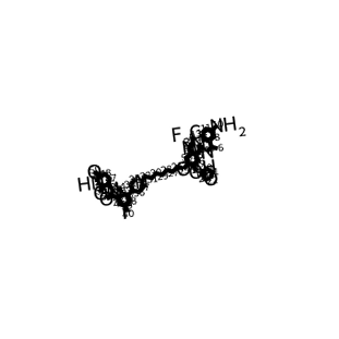 Cc1nc(NC(C)c2cc(N)cc(C(F)(F)F)c2)c2cc(O[C@H]3CCOC3)c(OCCCCCCCN3CCC(c4cc(F)cc5c4CN(C4CCC(=O)NC4=O)C5=O)CC3)cc2n1